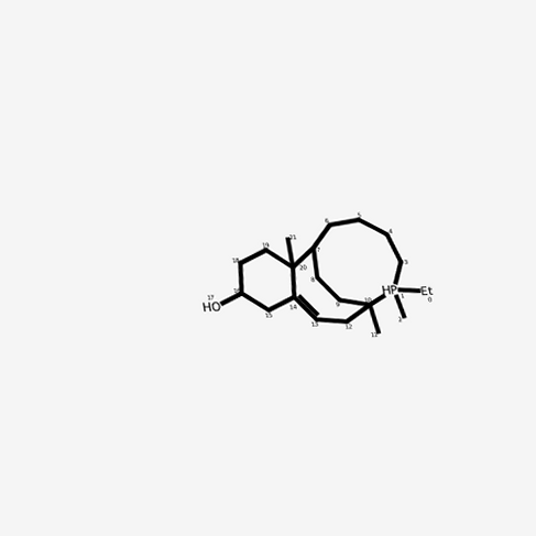 CC[PH]1(C)CCCCC2CCC1(C)C/C=C1/CC(O)CCC12C